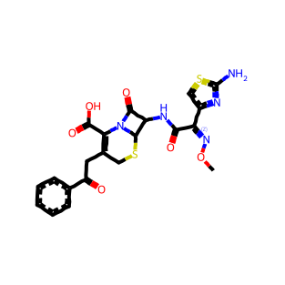 CO/N=C(\C(=O)NC1C(=O)N2C(C(=O)O)=C(CC(=O)c3ccccc3)CSC12)c1csc(N)n1